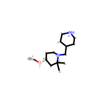 CC(C)(C)O[C@@H]1CCN(CC2CCNCC2)C(C)(C)C1